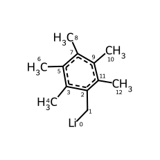 [Li][CH2]c1c(C)c(C)c(C)c(C)c1C